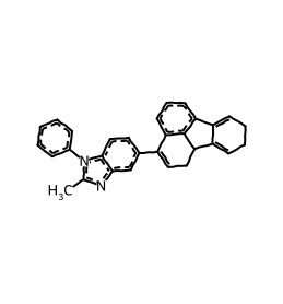 Cc1nc2cc(C3=CCC4C5=CCCC=C5c5cccc3c54)ccc2n1-c1ccccc1